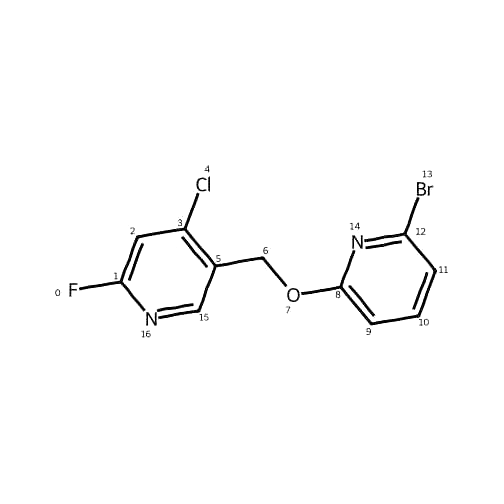 Fc1cc(Cl)c(COc2cccc(Br)n2)cn1